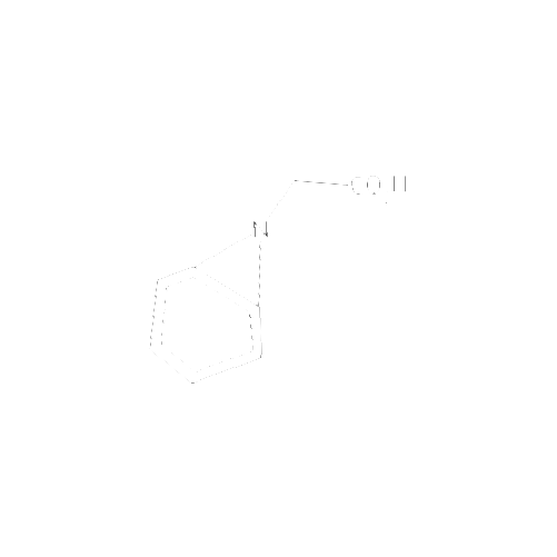 O=C(O)CN1c2ccccc21